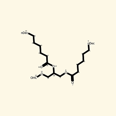 CCCCCCCCCCCCCCCC(=O)OCC(COC=O)OC(=O)CCCCCCCCCCCCCCC